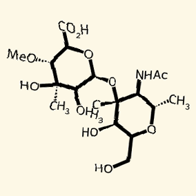 CO[C@@H]1C(C(=O)O)O[C@@H](O[C@]2(C)C(NC(C)=O)[C@H](C)OC(CO)[C@H]2O)C(O)[C@@]1(C)O